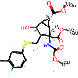 Cc1cc(SCC2[C@@H](O)C3[C@H](C(=O)OC(C)(C)C)[C@H]3[C@]2(NC(=O)OC(C)(C)C)C(=O)OC(C)(C)C)ccc1F